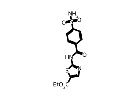 CCOC(=O)c1cnc(NC(=O)c2ccc(S(N)(=O)=O)cc2)s1